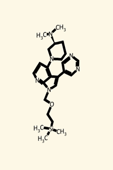 CN(C)[C@H]1CCCN(c2ccnc3c2c(-c2cncnc2)cn3COCC[Si](C)(C)C)C1